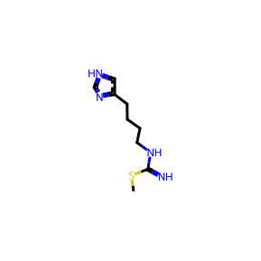 CSC(=N)NCCCCc1c[nH]cn1